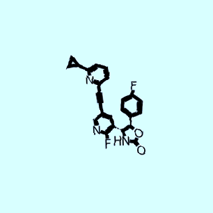 O=C1N[C@H](c2cc(C#Cc3cccc(C4CC4)n3)cnc2F)[C@@H](c2ccc(F)cc2)O1